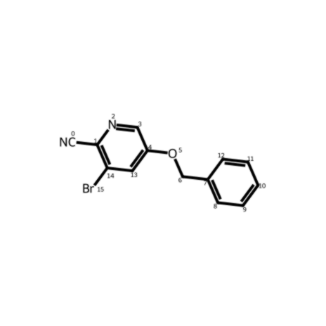 N#Cc1ncc(OCc2ccccc2)cc1Br